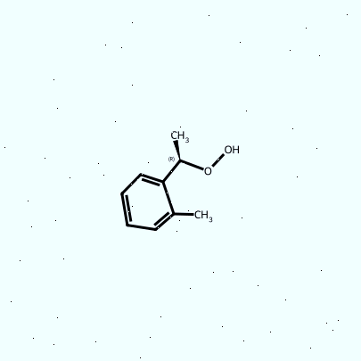 Cc1ccccc1[C@@H](C)OO